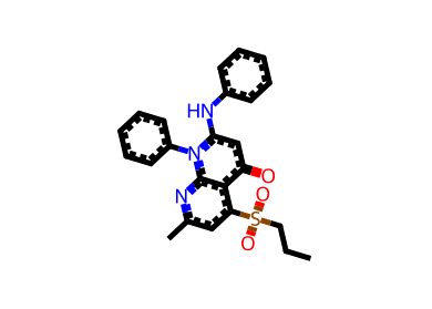 CCCS(=O)(=O)c1cc(C)nc2c1c(=O)cc(Nc1ccccc1)n2-c1ccccc1